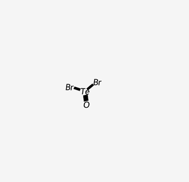 O=[Te](Br)Br